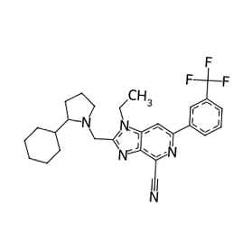 CCn1c(CN2CCCC2C2CCCCC2)nc2c(C#N)nc(-c3cccc(C(F)(F)F)c3)cc21